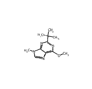 COc1nc(C(C)(C)C)nc2c1ncn2C